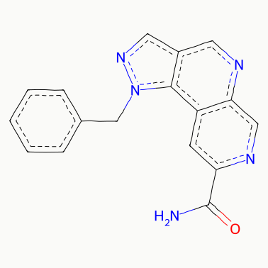 NC(=O)c1cc2c(cn1)ncc1cnn(Cc3ccccc3)c12